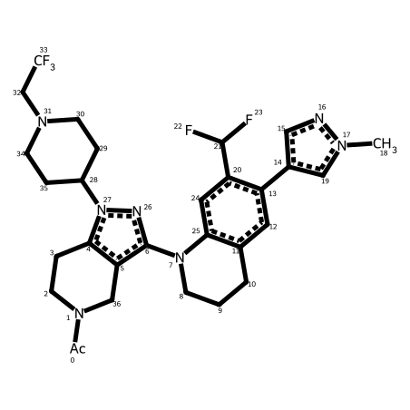 CC(=O)N1CCc2c(c(N3CCCc4cc(-c5cnn(C)c5)c(C(F)F)cc43)nn2C2CCN(CC(F)(F)F)CC2)C1